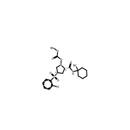 CC(C)(C)OC(=O)ON1C[C@H](S(=O)(=O)c2ccccc2Cl)C[C@H]1C(=O)NC1(C#N)CCCCC1